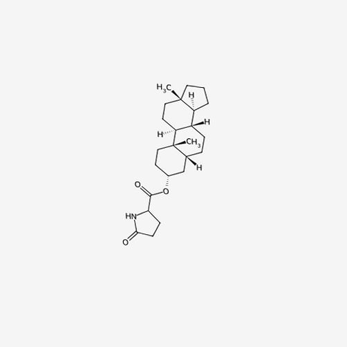 C[C@@]12CCC[C@H]1[C@@H]1CC[C@@H]3C[C@H](OC(=O)C4CCC(=O)N4)CC[C@]3(C)[C@H]1CC2